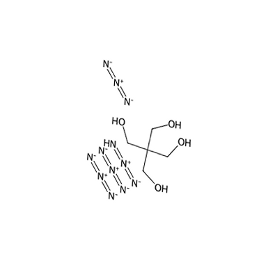 OCC(CO)(CO)CO.[N-]=[N+]=N.[N-]=[N+]=[N-].[N-]=[N+]=[N-].[N-]=[N+]=[N-]